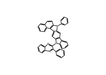 c1ccc(-c2nc3ccccc3nc2-n2c3ccccc3c3cc4c(cc32)c2c3ccccc3ccc2n4-c2ccccc2)cc1